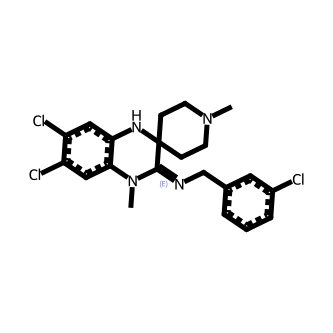 CN1CCC2(CC1)Nc1cc(Cl)c(Cl)cc1N(C)/C2=N/Cc1cccc(Cl)c1